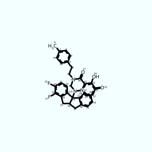 Cc1ccc(CCN2CN(C34c5ccccc5CC3Cc3c4ccc(F)c3F)n3ccc(=O)c(O)c3C2=O)cc1